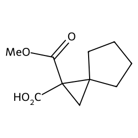 COC(=O)C1(C(=O)O)CC12CCCC2